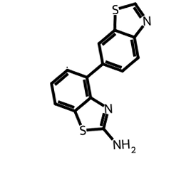 Nc1nc2c(-c3ccc4ncsc4c3)[c]ccc2s1